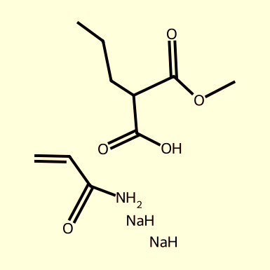 C=CC(N)=O.CCCC(C(=O)O)C(=O)OC.[NaH].[NaH]